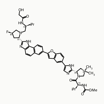 COC(=O)N[C@H](C(=O)N1C[Si](C)(C)C[C@H]1c1ncc(-c2ccc3oc(-c4ccc5c(ccc6nc([C@@H]7C[C@@H](F)CN7C[C@@H](NC(=O)CO)C(C)C)[nH]c65)c4)cc3c2)[nH]1)C(C)C